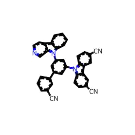 N#Cc1cccc(-c2cc(-n3c4ccc(C#N)cc4c4cc(C#N)ccc43)cc(-n3c4ccccc4c4ccncc43)c2)c1